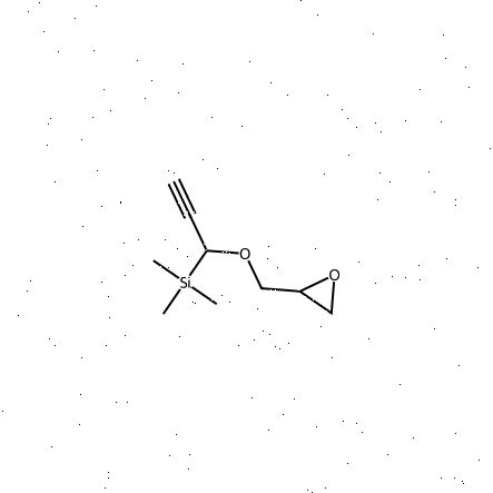 C#CC(OCC1CO1)[Si](C)(C)C